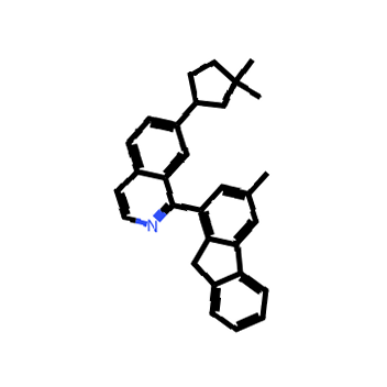 Cc1cc2c(c(-c3nccc4ccc(C5CCC(C)(C)C5)cc34)c1)Cc1ccccc1-2